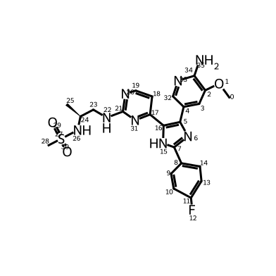 COc1cc(-c2nc(-c3ccc(F)cc3)[nH]c2-c2ccnc(NC[C@H](C)NS(C)(=O)=O)n2)cnc1N